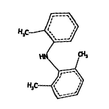 Cc1ccccc1Nc1c(C)cccc1C